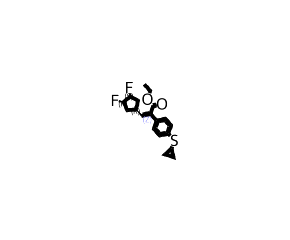 CCOC(=O)/C(=C\[C@H]1C[C@@H](F)[C@@H](F)C1)c1ccc(SC2CC2)cc1